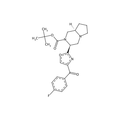 CC(C)(C)OC(=O)N1C[C@H]2CCCN2C[C@H]1c1nc(C(=O)c2ccc(F)cc2)co1